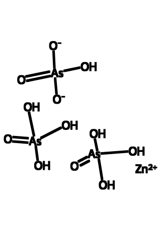 O=[As](O)(O)O.O=[As](O)(O)O.O=[As]([O-])([O-])O.[Zn+2]